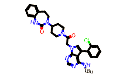 CC(C)(C)Nc1ncnc2c1c(-c1ccccc1Cl)cn2CC(=O)N1CCC(N2CCc3ccccc3NC2=O)CC1